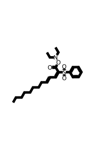 CCCCCCCCC=CC=C(C(=O)ON(CC)CC)S(=O)(=O)c1ccccc1